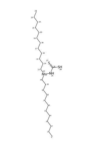 CCCCCCCCCCC[CH2][Mo]([CH2]CCCCCCCCCCC)[NH]C(=S)S